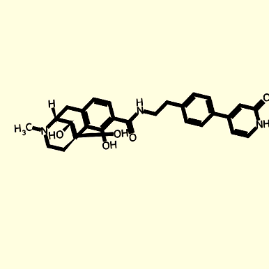 CN1CC[C@]23CC(O)CC[C@@]2(O)[C@H]1Cc1ccc(C(=O)NCCc2ccc(-c4cc[nH]c(=O)c4)cc2)c(O)c13